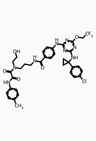 Cc1ccc(NC(=O)C(=O)N(CCO)CCCNC(=O)c2ccc(Nc3nc(NC4(c5ccc(Cl)cc5)CC4)nc(OCC(F)(F)F)n3)cc2)cc1